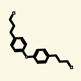 ClCCCc1ccc(Oc2ccc(CCCCl)cc2)cc1